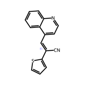 N#C/C(=C\c1ccnc2ccccc12)c1cccs1